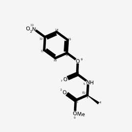 COC(=O)[C@H](C)NC(=O)Oc1ccc([N+](=O)[O-])cc1